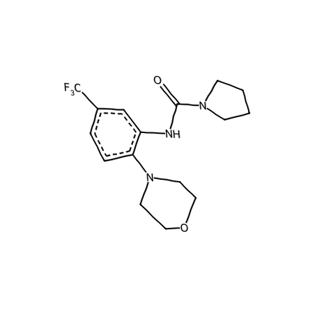 O=C(Nc1cc(C(F)(F)F)ccc1N1CCOCC1)N1CCCC1